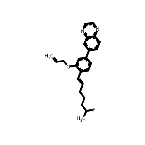 C=CCOc1cc(-c2ccc3nccnc3c2)ccc1C=CCCCC(C)F